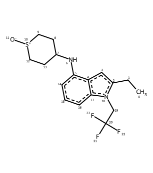 CCc1cc2c(NC3CC[S+]([O-])CC3)cccc2n1CC(F)(F)F